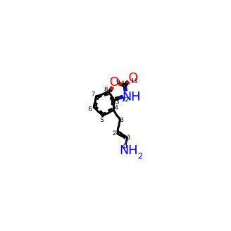 NC=CCc1cccc2oc(=O)[nH]c12